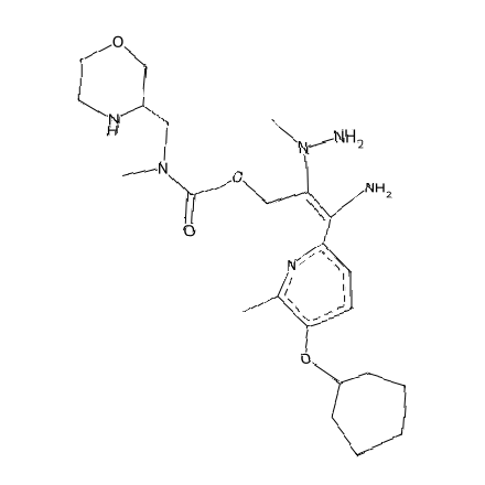 Cc1nc(/C(N)=C(\COC(=O)N(C)CC2COCCN2)N(C)N)ccc1OC1CCCCC1